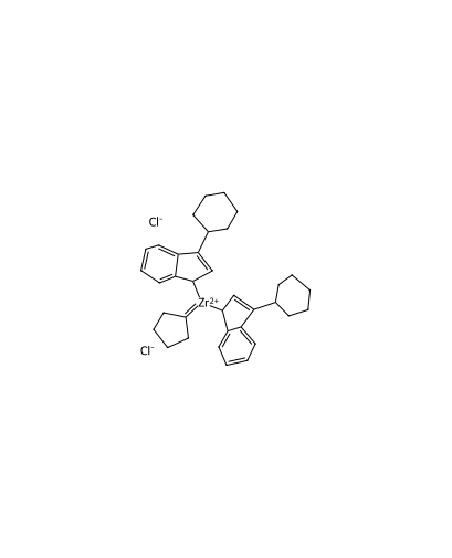 C1=C(C2CCCCC2)c2ccccc2[CH]1[Zr+2](=[C]1CCCC1)[CH]1C=C(C2CCCCC2)c2ccccc21.[Cl-].[Cl-]